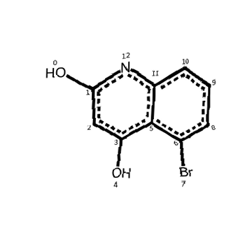 Oc1cc(O)c2c(Br)cccc2n1